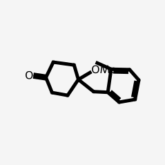 COC1(Cc2ccccc2C)CCC(=O)CC1